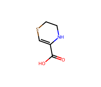 O=C(O)C1=CSCCN1